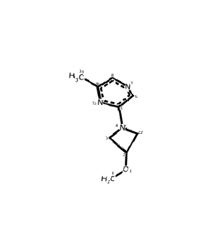 COC1CN(c2cncc(C)n2)C1